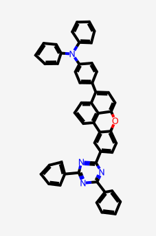 c1ccc(-c2nc(-c3ccccc3)nc(-c3ccc4c(c3)-c3cccc5c(-c6ccc(N(c7ccccc7)c7ccccc7)cc6)ccc(c35)O4)n2)cc1